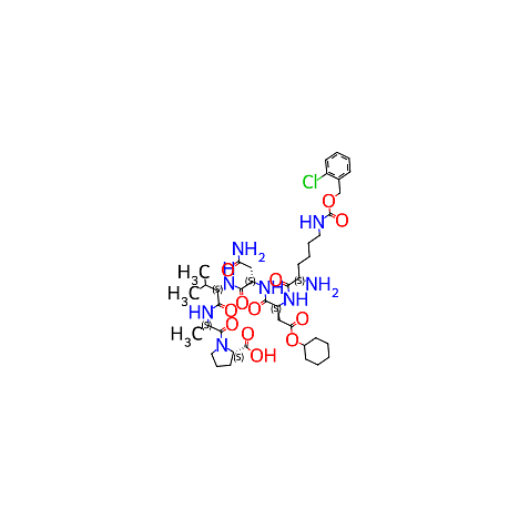 CC(C)[C@H](NC(=O)[C@H](CC(N)=O)NC(=O)[C@H](CC(=O)OC1CCCCC1)NC(=O)[C@@H](N)CCCCNC(=O)OCc1ccccc1Cl)C(=O)N[C@@H](C)C(=O)N1CCC[C@H]1C(=O)O